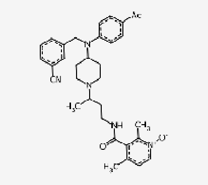 CC(=O)c1ccc(N(Cc2cccc(C#N)c2)C2CCN(C(C)CCNC(=O)c3c(C)cc[n+]([O-])c3C)CC2)cc1